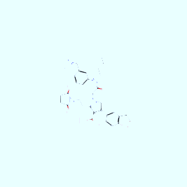 CCCCN(C(=O)CN1C[C@H](c2ccc3c(c2)CCO3)[C@@H](C(=O)O)[C@@H]1CCN1C(=O)CCC1=O)c1cccc(CN)c1